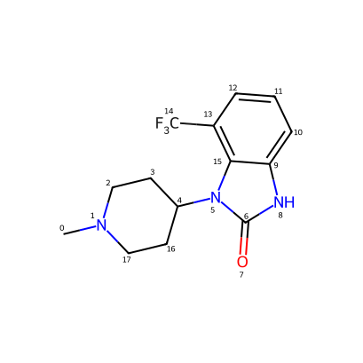 CN1CCC(n2c(=O)[nH]c3cccc(C(F)(F)F)c32)CC1